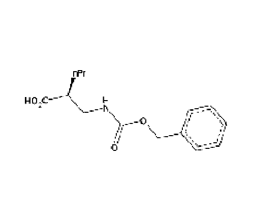 CCC[C@@H](CNC(=O)OCc1ccccc1)C(=O)O